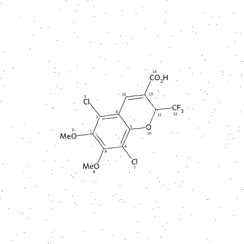 COc1c(Cl)c2c(c(Cl)c1OC)OC(C(F)(F)F)C(C(=O)O)=C2